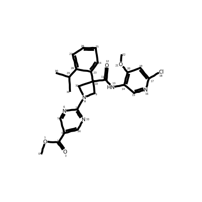 COC(=O)c1cnc(N2CC(C(=O)Nc3cnc(Cl)cc3OC)(c3ccccc3C(C)C)C2)nc1